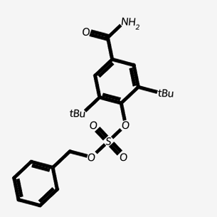 CC(C)(C)c1cc(C(N)=O)cc(C(C)(C)C)c1OS(=O)(=O)OCc1ccccc1